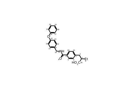 CCC(Cc1ccc(C(=O)NCc2ccc(Oc3ccccc3)cc2)cc1)C(=O)O